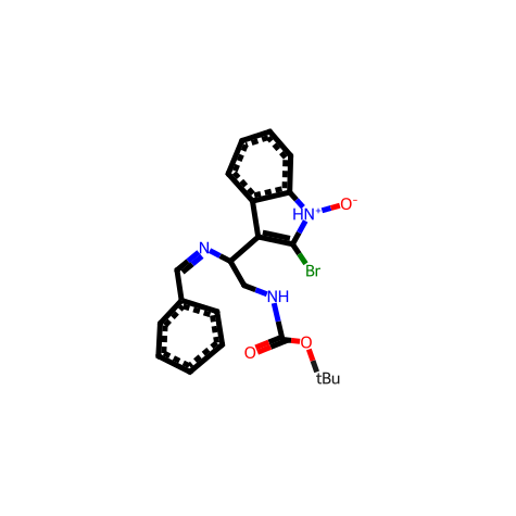 CC(C)(C)OC(=O)NCC(/N=C\c1ccccc1)C1=C(Br)[NH+]([O-])c2ccccc21